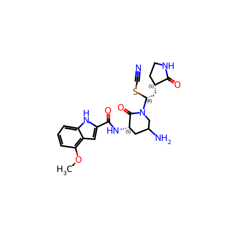 COc1cccc2[nH]c(C(=O)N[C@H]3CC(N)CN([C@@H](C[C@@H]4CCNC4=O)SC#N)C3=O)cc12